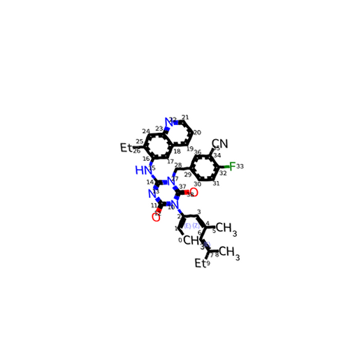 C\C=C(/C=C(C)\C=C(/C)CC)n1c(=O)nc(Nc2cc3cccnc3cc2CC)n(Cc2ccc(F)c(C#N)c2)c1=O